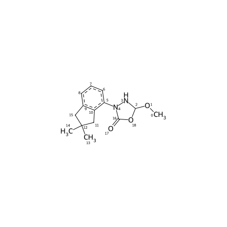 COC1NN(c2cccc3c2CC(C)(C)C3)C(=O)O1